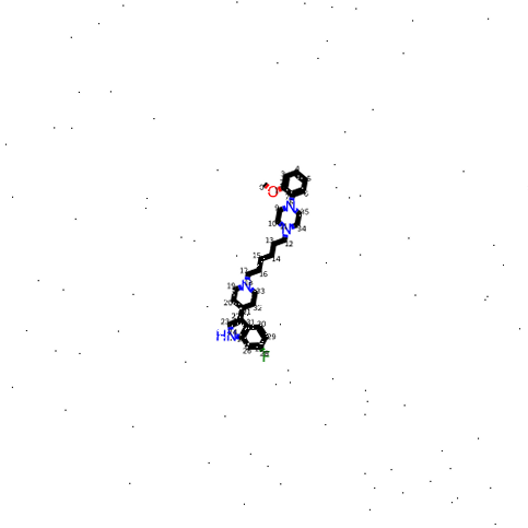 COc1ccccc1N1CCN(CCCCCCN2CCC(c3c[nH]c4cc(F)ccc34)CC2)CC1